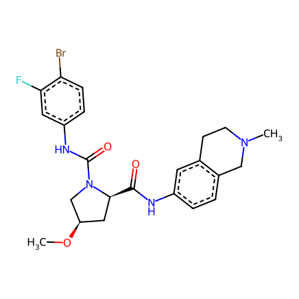 CO[C@@H]1C[C@H](C(=O)Nc2ccc3c(c2)CCN(C)C3)N(C(=O)Nc2ccc(Br)c(F)c2)C1